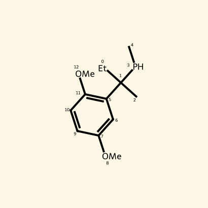 CCC(C)(PC)c1cc(OC)ccc1OC